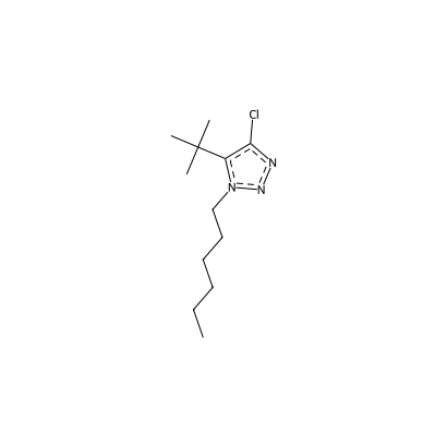 CCCCCCn1nnc(Cl)c1C(C)(C)C